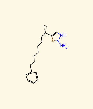 CCC(CCCCCCCc1ccccc1)C1=CNN(N)S1